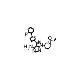 C=CC(=O)N1CCC[C@@H](n2nc(-c3ccc(-c4ccccc4F)s3)c3c(N)ncnc32)C1